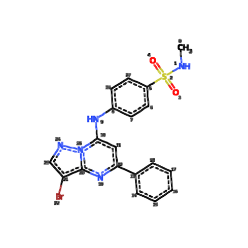 CNS(=O)(=O)c1ccc(Nc2cc(-c3ccccc3)nc3c(Br)cnn23)cc1